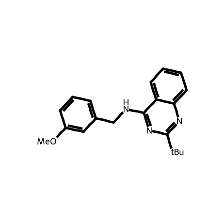 COc1cccc(CNc2nc(C(C)(C)C)nc3ccccc23)c1